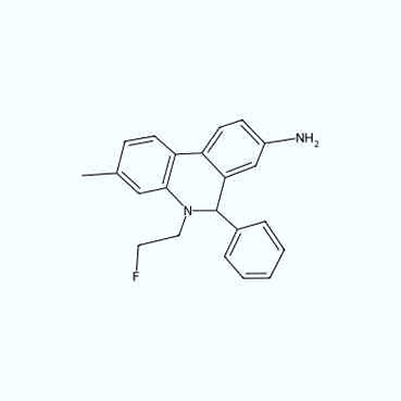 Cc1ccc2c(c1)N(CCF)C(c1ccccc1)c1cc(N)ccc1-2